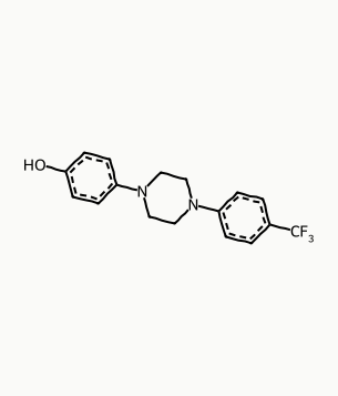 Oc1ccc(N2CCN(c3ccc(C(F)(F)F)cc3)CC2)cc1